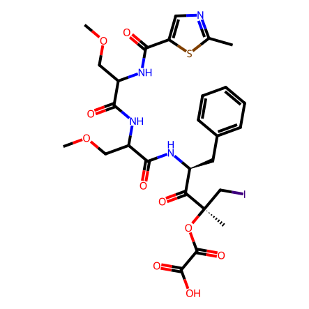 COCC(NC(=O)c1cnc(C)s1)C(=O)NC(COC)C(=O)N[C@@H](Cc1ccccc1)C(=O)[C@@](C)(CI)OC(=O)C(=O)O